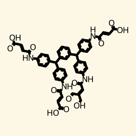 O=C/C(=C\C(=O)Nc1ccc(C(c2ccc(NC(=O)/C=C/C(=O)O)cc2)c2cccc(C(c3ccc(NC(=O)/C=C/C(=O)O)cc3)c3ccc(NC(=O)/C=C/C(=O)O)cc3)c2)cc1)CO